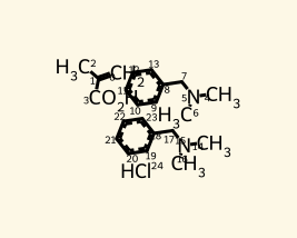 C=C(C)C(=O)O.CN(C)Cc1ccccc1.CN(C)Cc1ccccc1.Cl